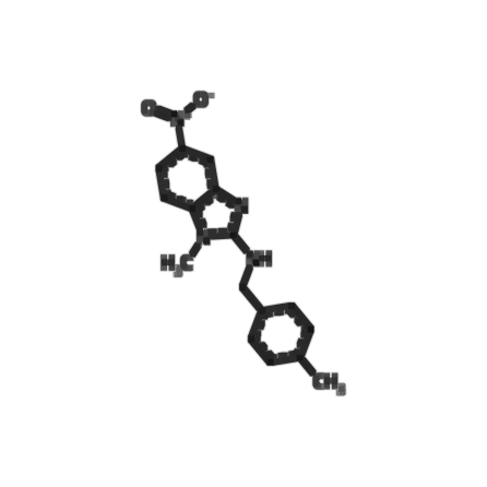 Cc1ccc(CNc2nc3cc([N+](=O)[O-])ccc3n2C)cc1